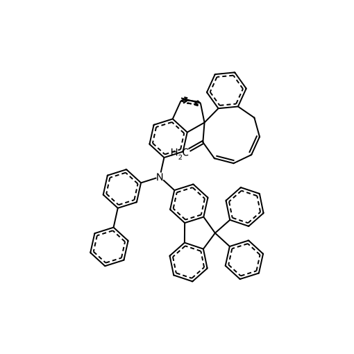 C=C1/C=C\C=C/Cc2ccccc2C12c1ccccc1-c1ccc(N(c3cccc(-c4ccccc4)c3)c3ccc4c(c3)-c3ccccc3C4(c3ccccc3)c3ccccc3)cc12